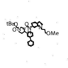 COCCCn1ccc2ccc(NC(=O)[C@H]3CN(C(=O)OC(C)(C)C)CCC3c3cccc(-c4ccccc4)c3)cc21